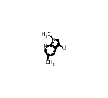 Cc1cnc2c(c1)c(Cl)cn2C